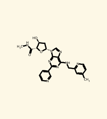 CNC(=O)[C@H]1O[C@@H](n2cnc3c(NCc4cc(C)ccn4)nc(-c4cccnc4)nc32)C[C@@H]1O